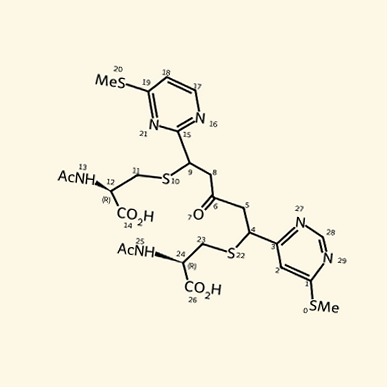 CSc1cc(C(CC(=O)CC(SC[C@H](NC(C)=O)C(=O)O)c2nccc(SC)n2)SC[C@H](NC(C)=O)C(=O)O)ncn1